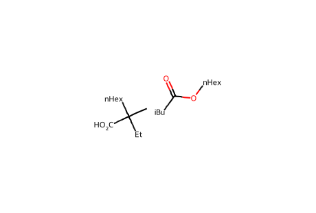 CCCCCCC(C)(CC)C(=O)O.CCCCCCOC(=O)C(C)CC